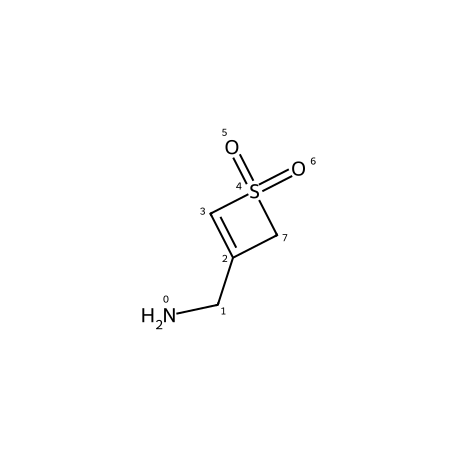 NCC1=CS(=O)(=O)C1